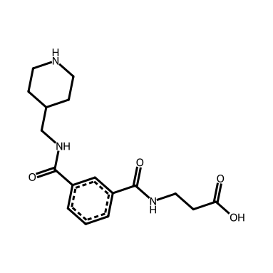 O=C(O)CCNC(=O)c1cccc(C(=O)NCC2CCNCC2)c1